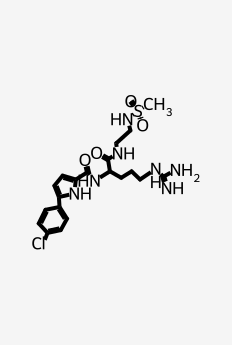 CS(=O)(=O)NCCNC(=O)C(CCCNC(=N)N)NC(=O)c1ccc(-c2ccc(Cl)cc2)[nH]1